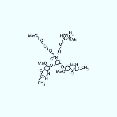 C/C=C1\C[C@H]2C=Nc3cc(OCc4cc(COc5cc6c(cc5OC)C(=O)N5C/C(=C/C)C[C@H]5C=N6)cc(N(CCOCCOCCN(C)CC(C)(C)SC)C(=O)CCOCCOCCOCCOC)c4)c(OC)cc3C(=O)N2C1